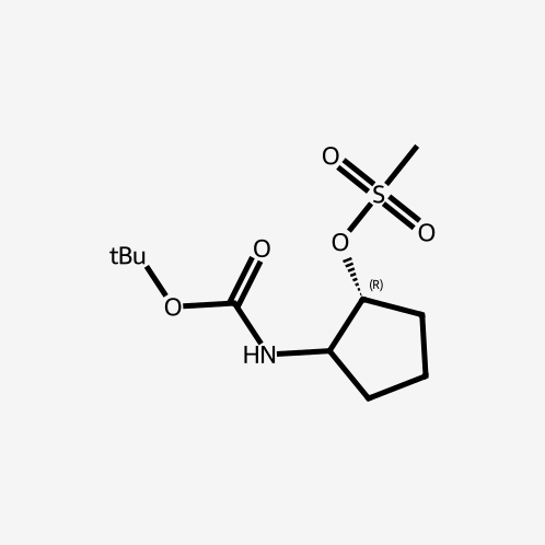 CC(C)(C)OC(=O)NC1CCC[C@H]1OS(C)(=O)=O